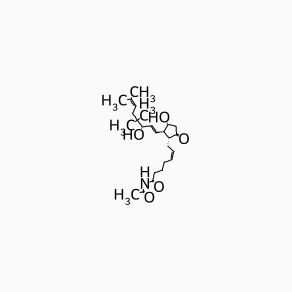 CC(=O)NC(=O)CCC/C=C\C[C@H]1C(=O)C[C@@H](O)[C@@H]1/C=C/[C@H](O)C(C)(C)CC=C(C)C